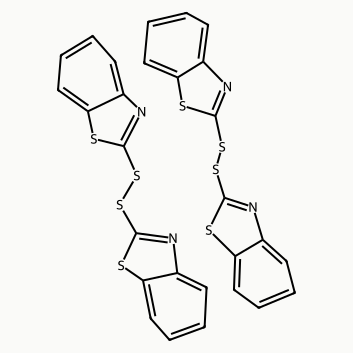 c1ccc2sc(SSc3nc4ccccc4s3)nc2c1.c1ccc2sc(SSc3nc4ccccc4s3)nc2c1